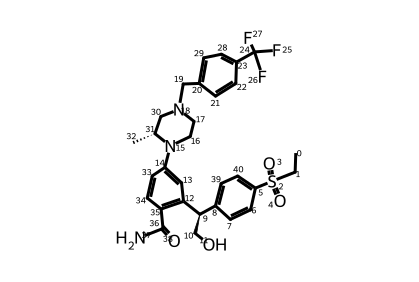 CCS(=O)(=O)c1ccc([C@@H](CO)c2cc(N3CCN(Cc4ccc(C(F)(F)F)cc4)C[C@H]3C)ccc2C(N)=O)cc1